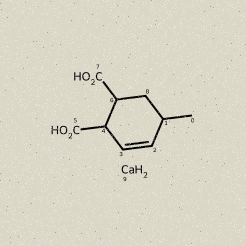 CC1C=CC(C(=O)O)C(C(=O)O)C1.[CaH2]